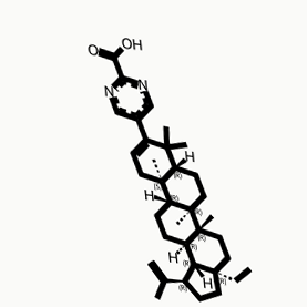 C=C(C)[C@@H]1CC[C@]2(CC)CC[C@]3(C)[C@H](CC[C@@H]4[C@@]5(C)CC=C(c6cnc(C(=O)O)nc6)C(C)(C)[C@@H]5CC[C@]43C)[C@@H]12